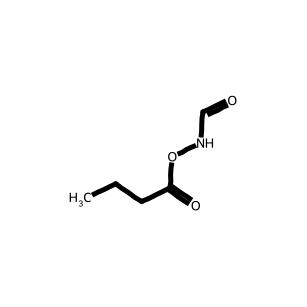 CCCC(=O)ONC=O